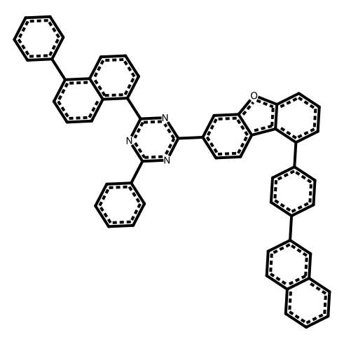 c1ccc(-c2nc(-c3ccc4c(c3)oc3cccc(-c5ccc(-c6ccc7ccccc7c6)cc5)c34)nc(-c3cccc4c(-c5ccccc5)cccc34)n2)cc1